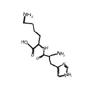 NCCCCC(NC(=O)C(N)Cc1c[nH]cn1)C(=O)O